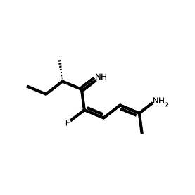 CC[C@H](C)C(=N)/C(F)=C\C=C(/C)N